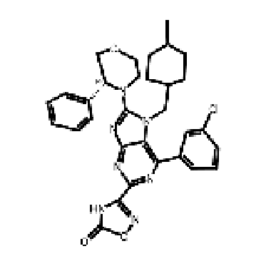 CC1CCC(Cn2c(N3CCOC[C@H]3c3ccccc3)nc3nc(-c4noc(=O)[nH]4)nc(-c4cccc(Cl)c4)c32)CC1